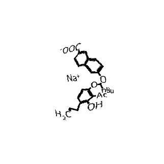 C=CCc1ccc(OC(CCCC)Oc2ccc3cc(C(=O)[O-])ccc3c2)c(C(C)=O)c1O.[Na+]